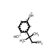 CC(C)(CN)c1cccc(O)c1.Cl